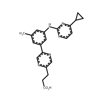 Cc1cc(Nc2nccc(C3CC3)n2)cc(-c2cnc(CCC(=O)O)cn2)c1